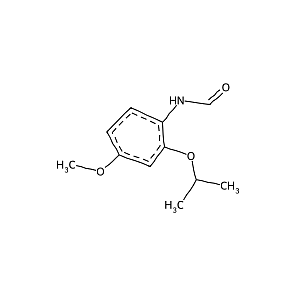 COc1ccc(NC=O)c(OC(C)C)c1